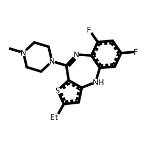 CCc1cc2c(s1)C(N1CCN(C)CC1)=Nc1c(F)cc(F)cc1N2